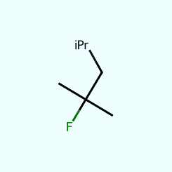 CC(C)CC(C)(C)F